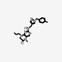 CCCN1CC(=O)N(C)c2cnc(NCc3cnn(Cc4ccc(C)cc4)c3)nc21